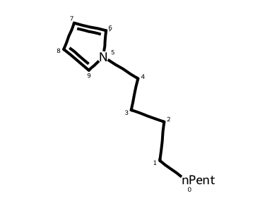 CCCCCCCCCn1[c]ccc1